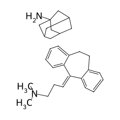 CN(C)CCC=C1c2ccccc2CCc2ccccc21.NC12CC3CC(CC(C3)C1)C2